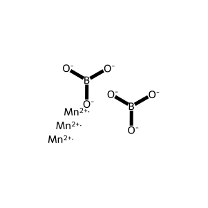 [Mn+2].[Mn+2].[Mn+2].[O-]B([O-])[O-].[O-]B([O-])[O-]